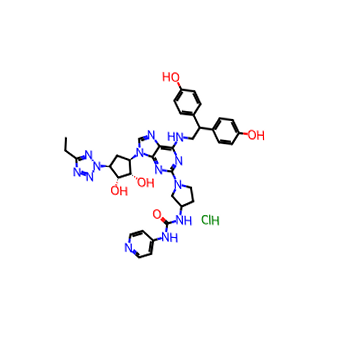 CCc1nnn([C@H]2C[C@@H](n3cnc4c(NCC(c5ccc(O)cc5)c5ccc(O)cc5)nc(N5CCC(NC(=O)Nc6ccncc6)C5)nc43)[C@H](O)[C@@H]2O)n1.Cl